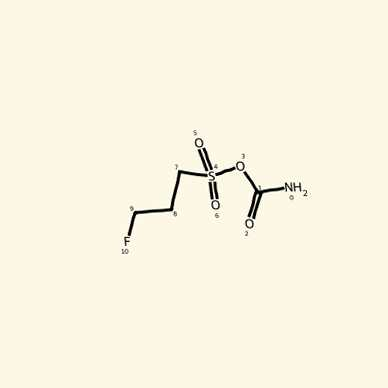 NC(=O)OS(=O)(=O)CCCF